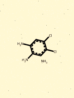 N.Nc1cc(Cl)c(Cl)cc1N